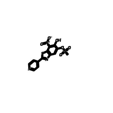 CS(=O)(=O)Oc1cc2nc(-c3ccncc3)sc2c([N+](=O)[O-])c1O